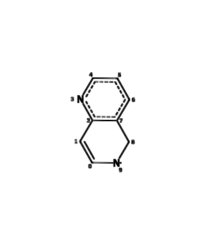 C1=Cc2ncccc2C[N]1